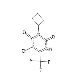 O=c1[nH]c(C(F)(F)F)c(Cl)c(=O)n1C1CCC1